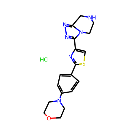 Cl.c1cc(N2CCOCC2)ccc1-c1nc(-c2nnc3n2CCNC3)cs1